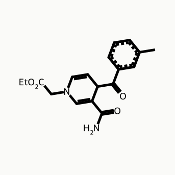 CCOC(=O)CN1C=CC(C(=O)c2cccc(C)c2)C(C(N)=O)=C1